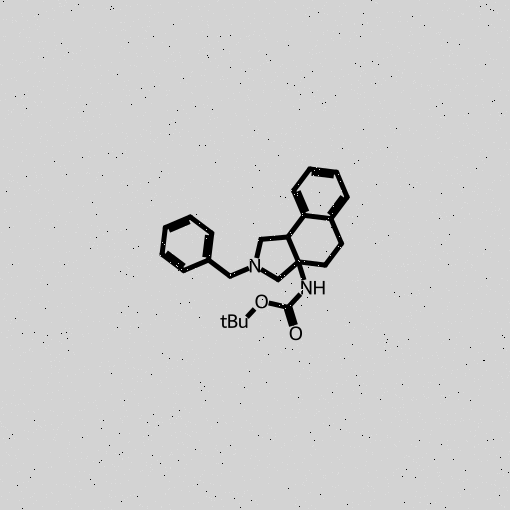 CC(C)(C)OC(=O)NC12CCc3ccccc3C1CN(Cc1ccccc1)C2